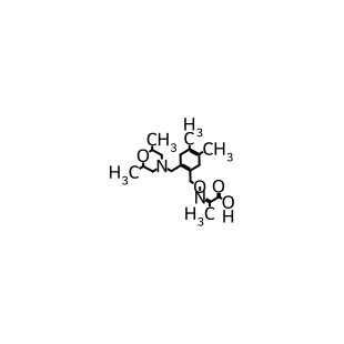 CC(=NOCC1=C(CN2CC(C)OC(C)C2)CC(C)=C(C)C1)C(=O)O